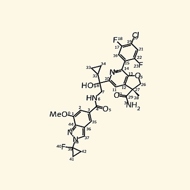 COc1cc(C(=O)NCC(O)(c2cc3c(c(-c4cc(F)c(Cl)cc4F)n2)OC[C@]3(C)C(N)=O)C2CC2)cc2cn(C3(F)CC3)nc12